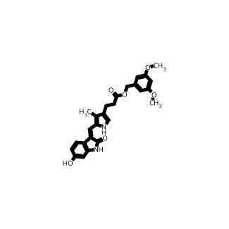 COc1cc(COC(=O)CCc2c[nH]c(C=C3C(=O)Nc4cc(O)ccc43)c2C)cc(OC)c1